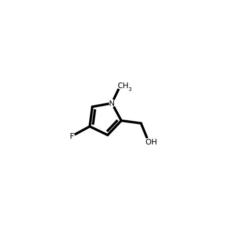 Cn1cc(F)cc1CO